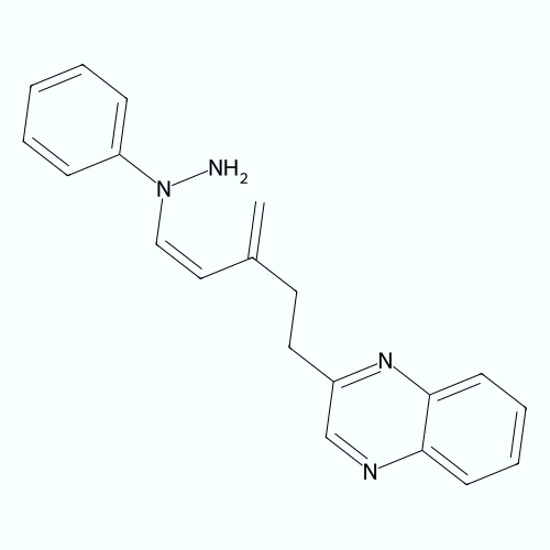 C=C(/C=C\N(N)c1ccccc1)CCc1cnc2ccccc2n1